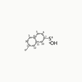 Cc1ccc2ccc(SO)cc2c1